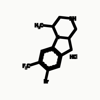 CC1CNCC2Cc3cc(Br)c(C(F)(F)F)cc3N12.Cl